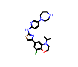 CC(C)N1CCOc2c(F)cc(-c3csc(Nc4ccc(N5CCCNCC5)cn4)n3)cc21